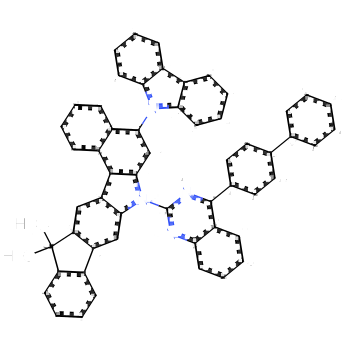 CC1(C)c2ccccc2-c2cc3c(cc21)c1c2ccccc2c(-n2c4ccccc4c4ccccc42)cc1n3-c1nc(-c2ccc(-c3ccccc3)cc2)c2ccccc2n1